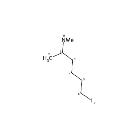 CNC(C)CCCCI